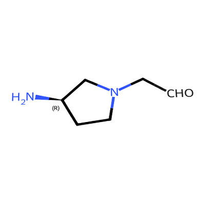 N[C@@H]1CCN(CC=O)C1